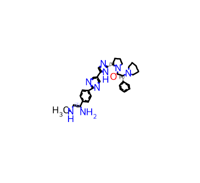 CN/C=C(\N)c1ccc(-c2ncc(-c3cnc([C@@H]4CCCN4C(=O)[C@@H](c4ccccc4)N4CCCCC4)[nH]3)cn2)cc1